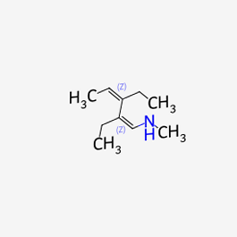 C/C=C(CC)\C(=C/NC)CC